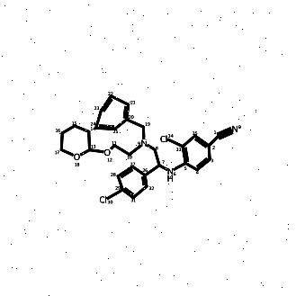 N#Cc1ccc(NC(CN(CCOC2CCCCO2)Cc2ccccc2)c2ccc(Cl)cc2)c(Cl)c1